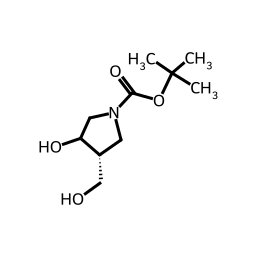 CC(C)(C)OC(=O)N1CC(O)[C@@H](CO)C1